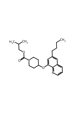 CCCCc1cc(OC2CCN(C(=O)OCC(C)C)CC2)c2ncccc2c1